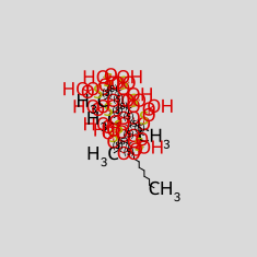 CCCCCCCCO[C@H]1OC(C)[C@H](OSOOO)[C@H](O[C@@H]2OC(C)[C@H](OSOOO)[C@H](O[C@@H]3OC(C)[C@H](OSOOO)[C@H](O[C@@H]4OC(C)[C@H](OSOOO)[C@H](OS(=O)(=O)O)C4OS(=O)(=O)O)C3OS(=O)(=O)O)C2OS(=O)(=O)O)C1OS(=O)(=O)O